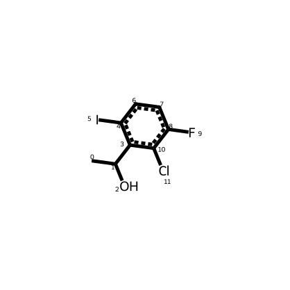 CC(O)c1c(I)ccc(F)c1Cl